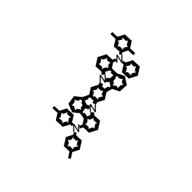 Cc1ccc(N(c2ccc(C)cc2)c2cccc3c2c2cccc4c5cc6c(cc5n3c42)c2cccc3c4c(N(c5ccccc5)c5cc(C)ccc5C)cccc4n6c23)cc1